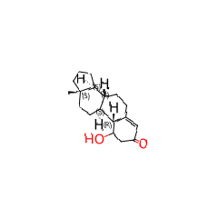 C[C@@]12CCC[C@H]1[C@@H]1CCC3=CC(=O)CC(O)[C@@H]3[C@H]1CC2